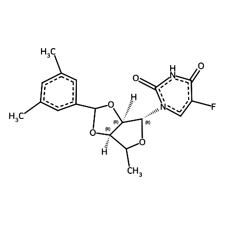 Cc1cc(C)cc(C2O[C@@H]3[C@H](O2)C(C)O[C@H]3n2cc(F)c(=O)[nH]c2=O)c1